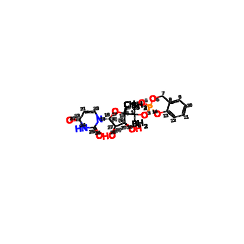 BC(B)(OP1(=O)OCc2ccccc2O1)[C@@]1(C)O[C@@H](n2ccc(=O)[nH]c2=O)[C@H](O)[C@@H]1O